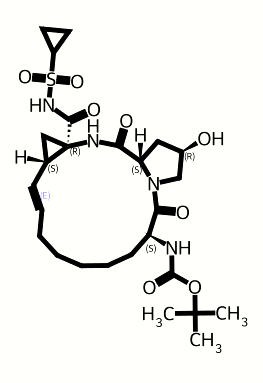 CC(C)(C)OC(=O)N[C@H]1CCCCC/C=C/[C@@H]2C[C@@]2(C(=O)NS(=O)(=O)C2CC2)NC(=O)[C@@H]2C[C@@H](O)CN2C1=O